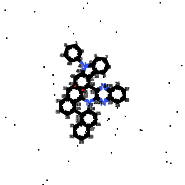 c1ccc(-n2c3ccccc3c3c(-c4nc5ccccc5nc4N4c5ccc6ccccc6c5-c5cccc6cccc4c56)cccc32)cc1